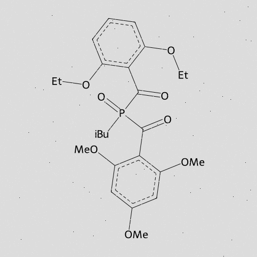 CCOc1cccc(OCC)c1C(=O)P(=O)(C(=O)c1c(OC)cc(OC)cc1OC)C(C)CC